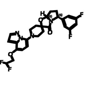 O=C1N2[C@@H](CC[C@H]2c2cc(F)cc(F)c2)OC12CCN(c1ccc(OCC(F)F)c3ccnn13)CC2